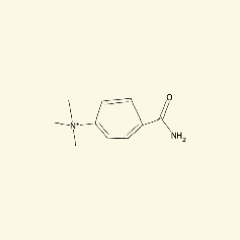 C[N+](C)(C)c1ccc(C(N)=O)cc1